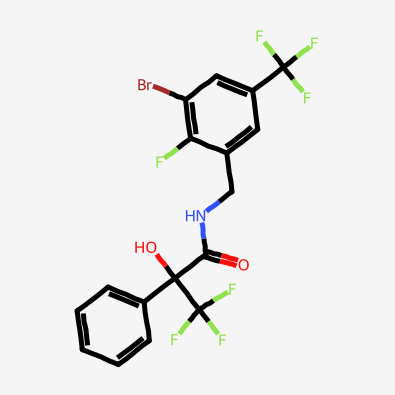 O=C(NCc1cc(C(F)(F)F)cc(Br)c1F)C(O)(c1ccccc1)C(F)(F)F